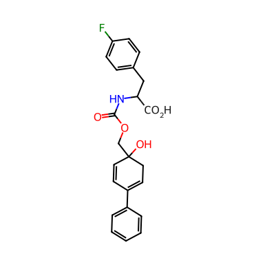 O=C(NC(Cc1ccc(F)cc1)C(=O)O)OCC1(O)C=CC(c2ccccc2)=CC1